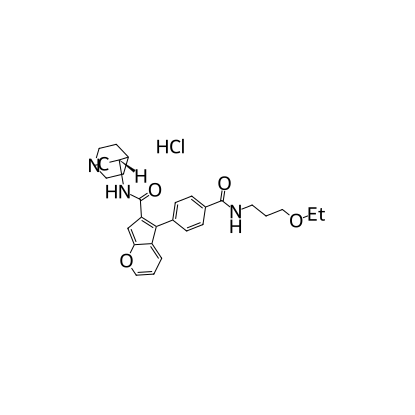 CCOCCCNC(=O)c1ccc(-c2c(C(=O)N[C@@H]3CN4CCC3CC4)cc3occcc2-3)cc1.Cl